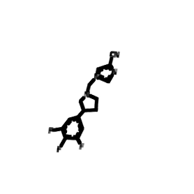 N#Cc1cn(CN2CCC(c3cc(F)c(F)c(F)c3)C2)cn1